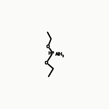 CCOPOCC.[AlH3]